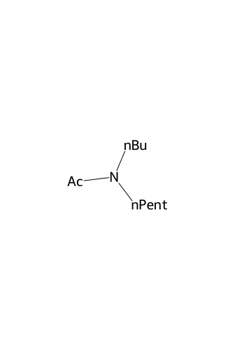 CCCCCN(CCCC)C(C)=O